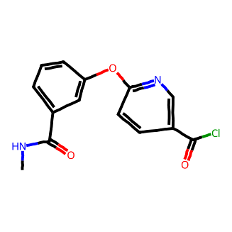 CNC(=O)c1cccc(Oc2ccc(C(=O)Cl)cn2)c1